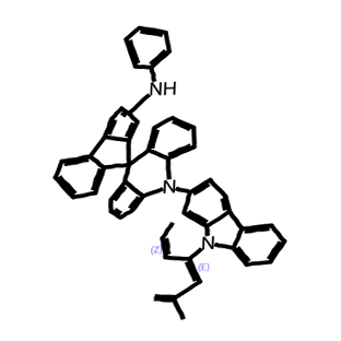 C=C(C)/C=C(\C=C/C)n1c2ccccc2c2ccc(N3c4ccccc4C4(c5ccccc5-c5ccc(Nc6ccccc6)cc54)c4ccccc43)cc21